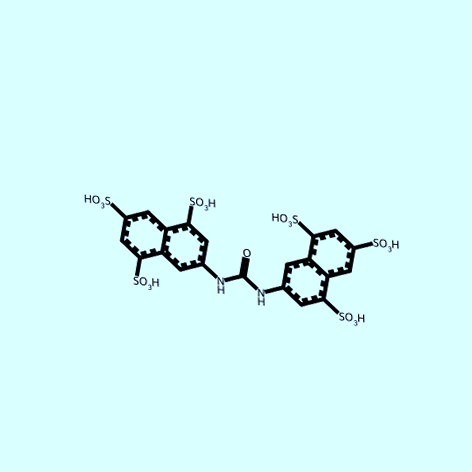 O=C(Nc1cc(S(=O)(=O)O)c2cc(S(=O)(=O)O)cc(S(=O)(=O)O)c2c1)Nc1cc(S(=O)(=O)O)c2cc(S(=O)(=O)O)cc(S(=O)(=O)O)c2c1